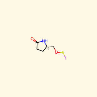 O=C1CC[C@@H](COSI)N1